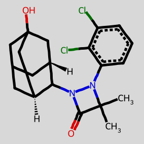 CC1(C)C(=O)N(C2[C@@H]3CC4C[C@H]2CC(O)(C4)C3)N1c1cccc(Cl)c1Cl